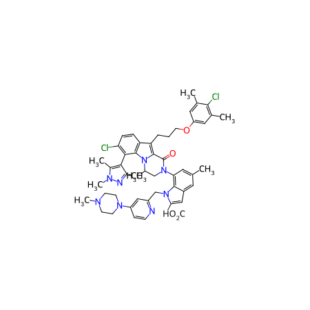 Cc1cc(N2CC(C)n3c(c(CCCOc4cc(C)c(Cl)c(C)c4)c4ccc(Cl)c(-c5c(C)nn(C)c5C)c43)C2=O)c2c(c1)cc(C(=O)O)n2Cc1cc(N2CCN(C)CC2)ccn1